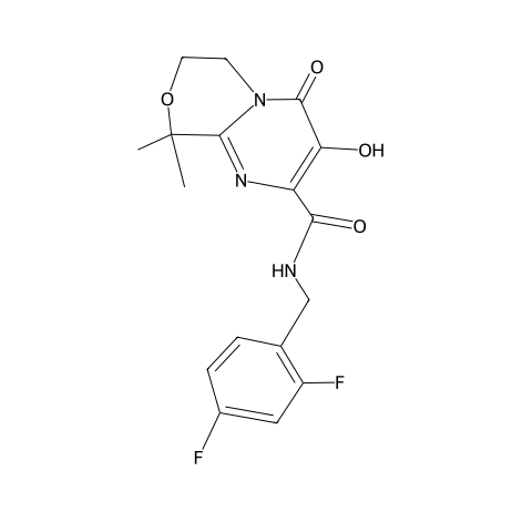 CC1(C)OCCn2c1nc(C(=O)NCc1ccc(F)cc1F)c(O)c2=O